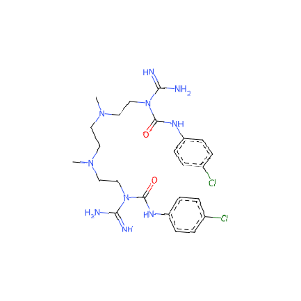 CN(CCN(C)CCN(C(=N)N)C(=O)Nc1ccc(Cl)cc1)CCN(C(=N)N)C(=O)Nc1ccc(Cl)cc1